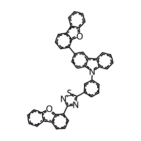 c1cc(-c2nc(-c3cccc4c3oc3ccccc34)ns2)cc(-n2c3ccccc3c3cc(-c4cccc5c4oc4ccccc45)ccc32)c1